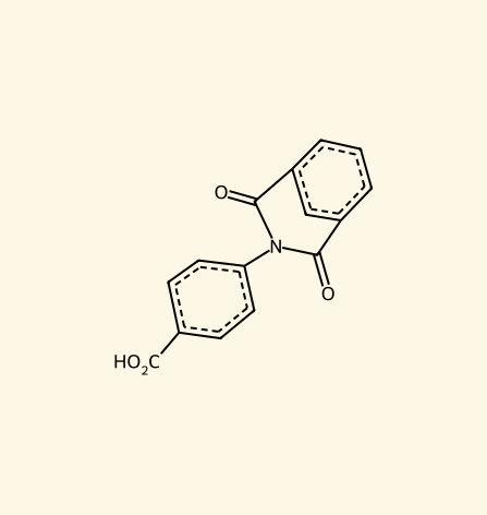 O=C(O)c1ccc(N2C(=O)c3cccc(c3)C2=O)cc1